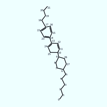 CCCCCCC1CCC(C2C=CC(c3ccc(CCCC)cc3)=CC2)CC1